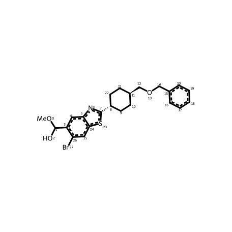 COC(O)c1cc2nc([C@H]3CC[C@H](COCc4ccccc4)CC3)sc2cc1Br